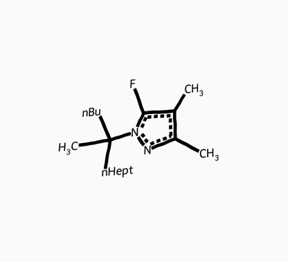 CCCCCCCC(C)(CCCC)n1nc(C)c(C)c1F